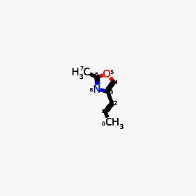 CC=Cc1coc(C)n1